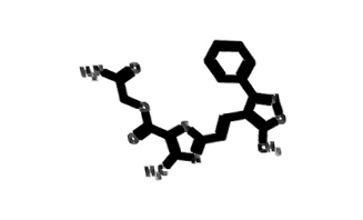 Cc1nc(C=Cc2c(-c3ccccc3)noc2C)sc1C(=O)OCC(N)=O